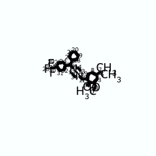 COc1cc(C(C)C)ccc(CN2CCN(C(c3ccccc3)c3ccc(C(F)(F)F)cc3)CC2)c1=O